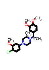 COc1cc(N2CCN([C@H](C)c3ccc(OC)c(OC)c3)[C@@H](C)C2)ccc1Cl